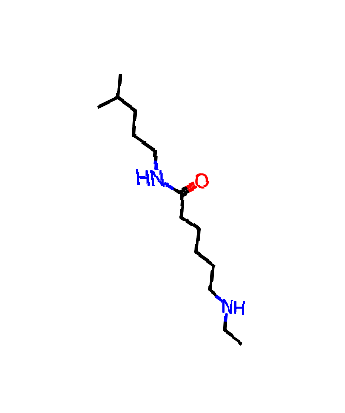 CCNCCCCCC(=O)NCCCC(C)C